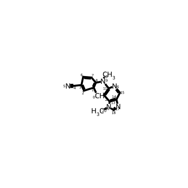 Cc1cc(C#N)ccc1N(C)c1cc2c(cn1)ncn2C